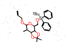 C=CCOC1OC(CO[Si](c2ccccc2)(c2ccccc2)C(C)(C)C)C2OC(C)(C)OC2C1C